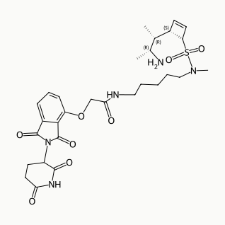 C[C@H]([C@@H]1C=CC1S(=O)(=O)N(C)CCCCCNC(=O)COc1cccc2c1C(=O)N(C1CCC(=O)NC1=O)C2=O)[C@@H](C)N